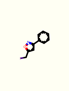 ICc1cc(-c2ccccc2)no1